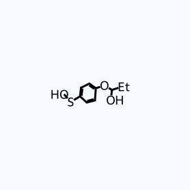 CCC(O)Oc1ccc(SO)cc1